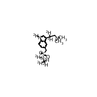 [2H]N(C([2H])([2H])[2H])S(=O)(=O)Cc1ccc2c(c1)c(C([2H])([2H])CN(C)C)cn2[2H]